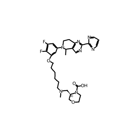 CC1c2cnc(-c3ncccn3)nc2CCN1c1cc(F)c(F)c(OCCCCCCN(C)C[C@@H]2COCCN2C(=O)O)c1